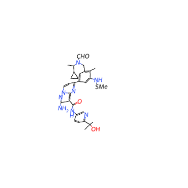 CSNc1cc(-c2ccn3nc(N)c(C(=O)Nc4ccc(C(C)(C)O)nc4)c3n2)cc(CN(C=O)C(C)C2CC2)c1C